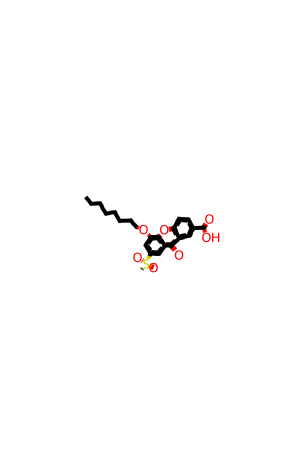 CCCCCCCCOc1cc(S(C)(=O)=O)cc2c(=O)c3cc(C(=O)O)ccc3oc12